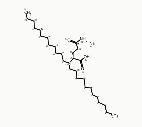 CCCCCCCCCCCCN(CCCCCCCCCCCC)[C@@H](CCC(N)=O)C(=O)O.[Na]